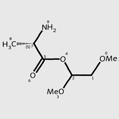 COCC(OC)OC(=O)[C@H](C)N